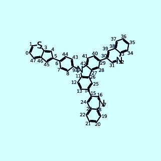 c1csc2cc(-c3ccc(-n4c5ccc(-c6cnc7ccccc7c6)cc5c5cc(-c6cnc7ccccc7c6)ccc54)cc3)cc-2c1